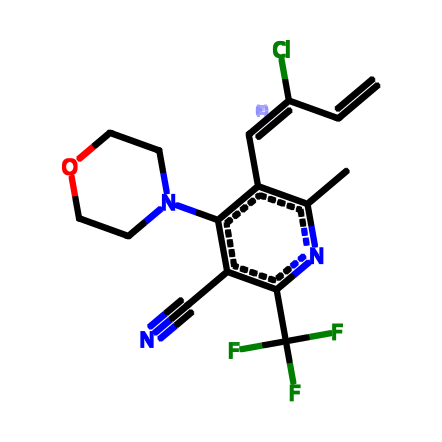 C=C/C(Cl)=C\c1c(C)nc(C(F)(F)F)c(C#N)c1N1CCOCC1